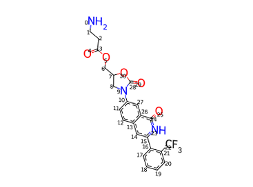 NCCC(=O)OCC1CN(c2ccc3cc(-c4ccccc4C(F)(F)F)[nH]c(=O)c3c2)C(=O)O1